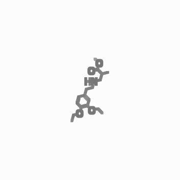 CCOc1ccc(CCNCC(C)C(=O)OC)cc1OCC